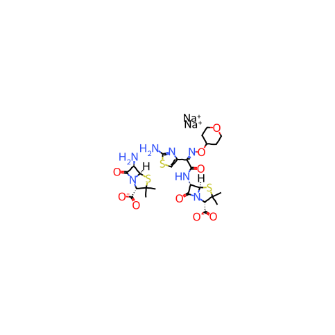 CC1(C)S[C@@H]2[C@@H](NC(=O)/C(=N\OC3CCOCC3)c3csc(N)n3)C(=O)N2[C@H]1C(=O)[O-].CC1(C)S[C@@H]2[C@H](N)C(=O)N2[C@H]1C(=O)[O-].[Na+].[Na+]